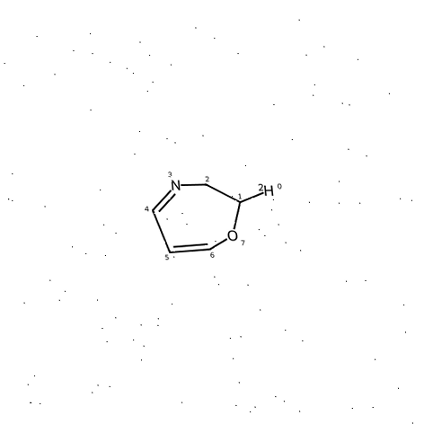 [2H]C1CN=CC=CO1